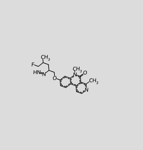 Cc1nccc2c1c(=O)n(C)c1cc(OCC(CC(C)CF)N=N)ccc21